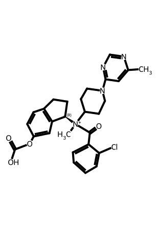 Cc1cc(N2CCC([N+](C)(C(=O)c3ccccc3Cl)[C@@H]3CCc4ccc(OC(=O)O)cc43)CC2)ncn1